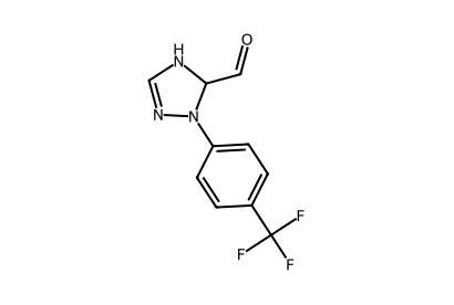 O=CC1NC=NN1c1ccc(C(F)(F)F)cc1